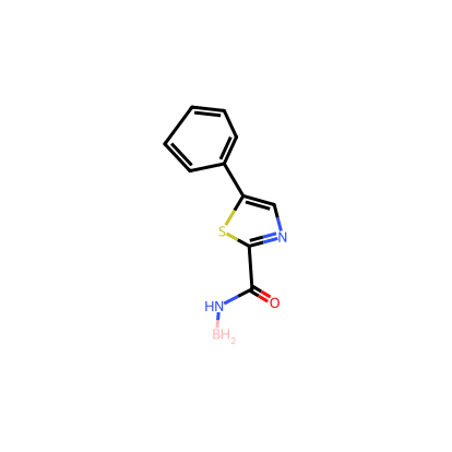 BNC(=O)c1ncc(-c2ccccc2)s1